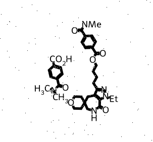 CCn1nc(CCCCOC(=O)c2ccc(C(=O)NC)cc2)c2c1C(=O)NCC1(CCOCC1)C2.CN(C)C(=O)c1ccc(C(=O)O)cc1